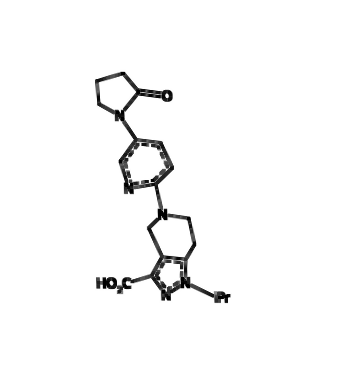 CC(C)n1nc(C(=O)O)c2c1CCN(c1ccc(N3CCCC3=O)cn1)C2